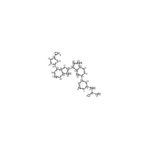 CCCC(=O)Nc1cncc(-c2ccc3[nH]nc(-c4cc5c(-c6ccc(C)s6)cncc5[nH]4)c3n2)c1